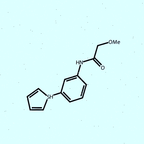 COCC(=O)Nc1[c]ccc([SH]2C=CC=C2)c1